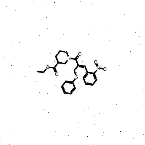 CCOC(=O)C1CCCN(C(=O)/C(=C/c2ccccc2[N+](=O)[O-])CSc2ccccc2)C1